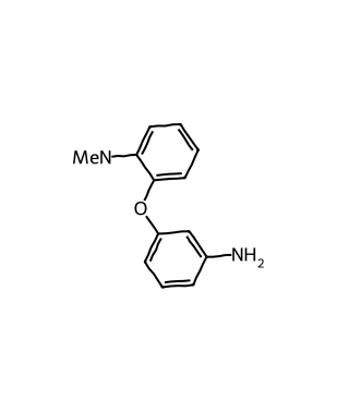 CNc1ccccc1Oc1cccc(N)c1